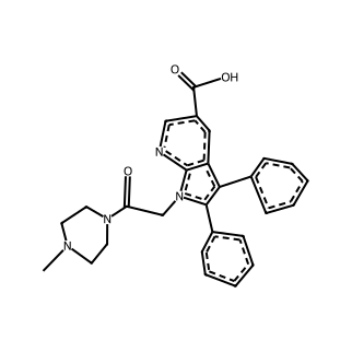 CN1CCN(C(=O)Cn2c(-c3ccccc3)c(-c3ccccc3)c3cc(C(=O)O)cnc32)CC1